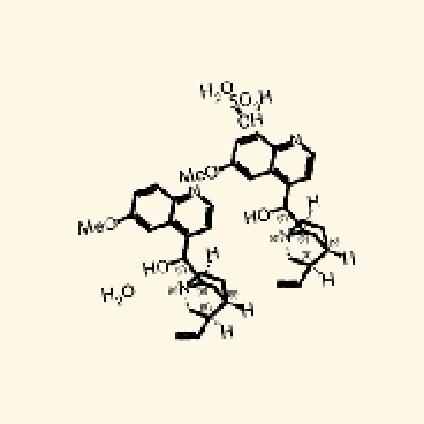 C=C[C@H]1C[N@]2CC[C@H]1C[C@@H]2[C@@H](O)c1ccnc2ccc(OC)cc12.C=C[C@H]1C[N@]2CC[C@H]1C[C@@H]2[C@@H](O)c1ccnc2ccc(OC)cc12.O.O.O=S(=O)(O)O